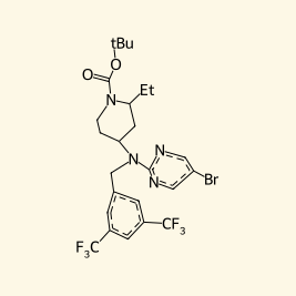 CCC1CC(N(Cc2cc(C(F)(F)F)cc(C(F)(F)F)c2)c2ncc(Br)cn2)CCN1C(=O)OC(C)(C)C